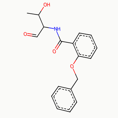 CC(O)C(C=O)NC(=O)c1ccccc1OCc1ccccc1